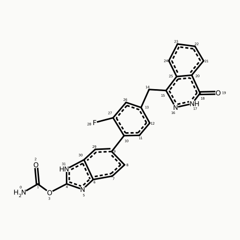 NC(=O)Oc1nc2ccc(-c3ccc(Cc4n[nH]c(=O)c5ccccc45)cc3F)cc2[nH]1